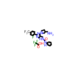 NCC1CCN(c2nc(-c3ccc(C(F)(F)F)cc3F)ncc2CNC(=O)Nc2ccccc2)C1.O=C(O)C(F)(F)F